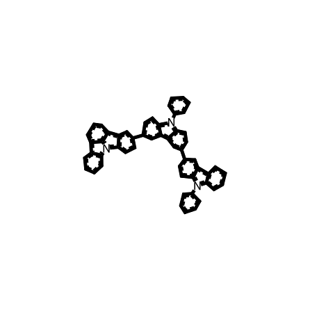 c1ccc(-n2c3ccccc3c3cc(-c4ccc5c(c4)c4cc(-c6ccc7c(c6)c6cccc8c9ccccc9n7c86)ccc4n5-c4ccccc4)ccc32)cc1